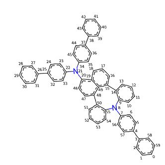 c1ccc(-c2ccc(N3c4ccccc4-c4cccc5c(N(c6ccc(-c7ccccc7)cc6)c6ccc(-c7ccccc7)cc6)ccc(c45)-c4ccccc43)cc2)cc1